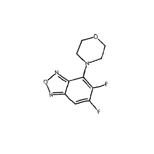 Fc1cc2nonc2c(N2CCOCC2)c1F